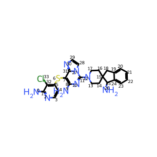 Nc1nccc(Sc2c(N)nc(N3CCC4(CC3)Cc3ccccc3C4N)n3ccnc23)c1Cl